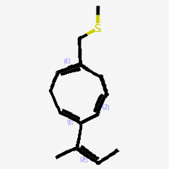 C\C=C(C)/C1=C/C/C=C(/CSC)C/C=C\1